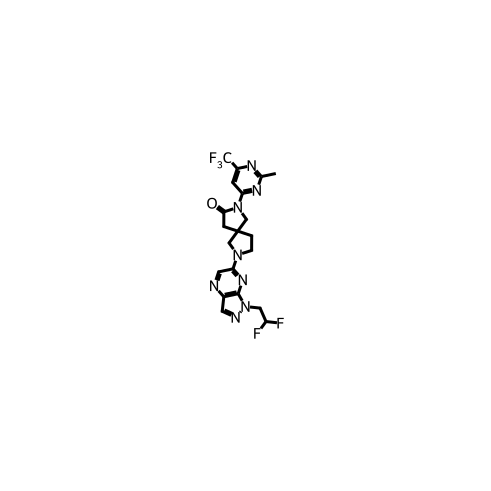 Cc1nc(N2CC3(CCN(c4cnc5cnn(CC(F)F)c5n4)C3)CC2=O)cc(C(F)(F)F)n1